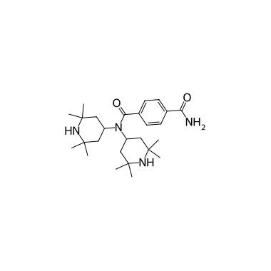 CC1(C)CC(N(C(=O)c2ccc(C(N)=O)cc2)C2CC(C)(C)NC(C)(C)C2)CC(C)(C)N1